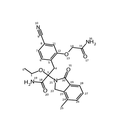 CCOC(Cc1ccc(C#N)cc1OCC(N)=O)(C(N)=O)N1Cc2c(C)cccc2C1=O